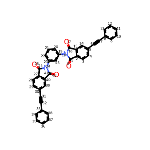 O=C1c2ccc(C#Cc3ccccc3)cc2C(=O)N1c1cccc(N2C(=O)c3ccc(C#Cc4ccccc4)cc3C2=O)c1